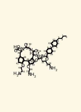 CCCCc1ccc(-c2ccc(C(=O)N[C@@H](CCCCN)C(=O)N(C)[C@@H]3C(=O)N[C@@H](C)C(=O)N[C@H](C(=O)O)Cc4ccc(OCCN)c(c4)-c4cc3ccc4OCCN)cc2)cc1